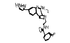 Nc1nc2cc(-c3cc[nH]n3)ccc2c2cn(CCNC(=O)c3cccc(F)c3)nc12